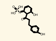 O=C(CCc1ccc(O)cc1)C1C(O)=CC=C/C1=N\P(=O)(O)O